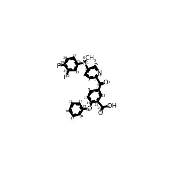 CN(c1ccc(C(=O)c2ccc(Oc3ccccc3)c(C(=O)O)c2)nc1)c1ccc(F)c(F)c1